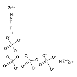 O=P([O-])([O-])[O-].O=P([O-])([O-])[O-].O=P([O-])([O-])[O-].O=P([O-])([O-])[O-].[Ni].[Ni].[Ni].[Ti].[Ti].[Ti].[Zr+4].[Zr+4].[Zr+4]